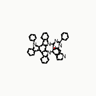 c1ccc(-c2nc(-c3cccnc3)nc(-n3c4ccccc4c4c5c(c6ccccc6n5-c5ccccc5)c5c6ccccc6n(-c6ccccc6)c5c43)n2)cc1